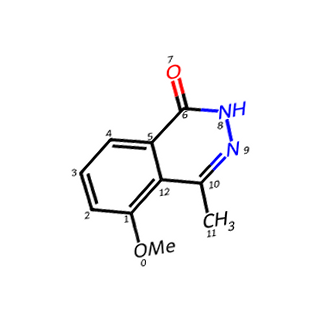 COc1cccc2c(=O)[nH]nc(C)c12